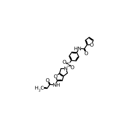 C=CC(=O)Nc1cc2c(o1)CN(S(=O)(=O)c1ccc(NC(=O)c3ccco3)cc1)C2